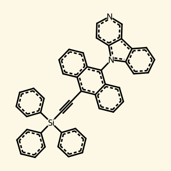 C(#C[Si](c1ccccc1)(c1ccccc1)c1ccccc1)c1c2ccccc2c(-n2c3ccccc3c3cnccc32)c2ccccc12